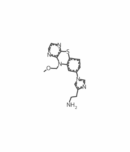 COCN1c2cc(-n3cnc(CCN)c3)ccc2Sc2nccnc21